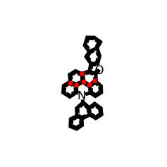 c1ccc(-c2ccccc2N(c2ccccc2-c2ccc3oc4cc5ccccc5cc4c3c2)c2cc3ccccc3c3ccccc23)cc1